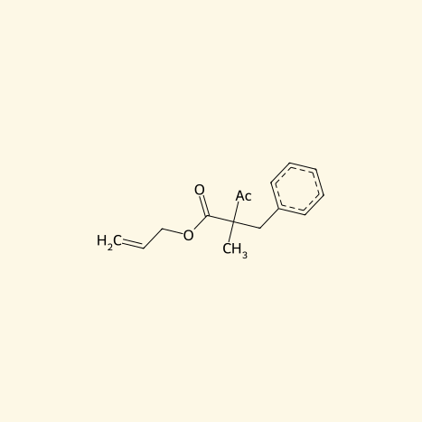 C=CCOC(=O)C(C)(Cc1ccccc1)C(C)=O